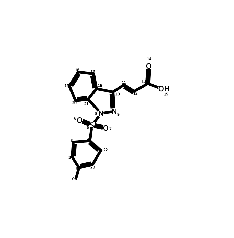 Cc1ccc(S(=O)(=O)n2nc(C=CC(=O)O)c3ccccc32)cc1